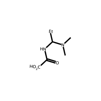 CCC(NC(=O)C(=O)O)N(C)C